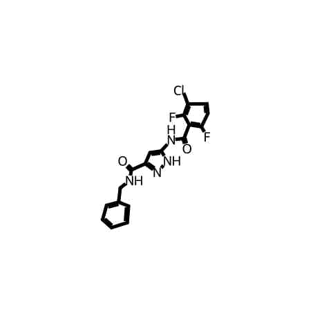 O=C(NCc1ccccc1)c1cc(NC(=O)c2c(F)ccc(Cl)c2F)[nH]n1